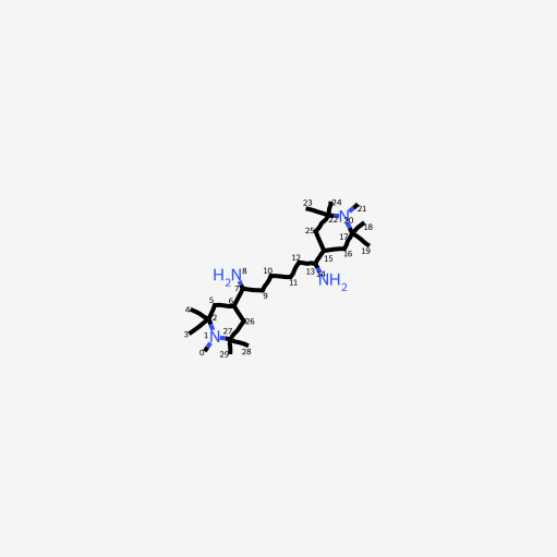 CN1C(C)(C)CC(C(N)CCCCC(N)C2CC(C)(C)N(C)C(C)(C)C2)CC1(C)C